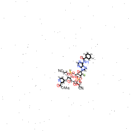 COC(=O)c1cc([C@@H]2O[C@H](CO)[C@@H](OP(=S)(OCCC#N)OC[C@H]3O[C@@H](n4cnc5c(NC(=O)c6ccccc6)ncnc54)[C@H](F)[C@@H]3OP(=O)(O)OCCC#N)[C@H]2C)ccn1